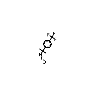 CC(C)(N=C=O)c1ccc(C(F)(F)F)cc1